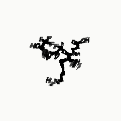 NCCCCC(N)C(=O)NCCC(=O)O.O=C(O)C(F)(F)F.O=C(O)C(F)(F)F